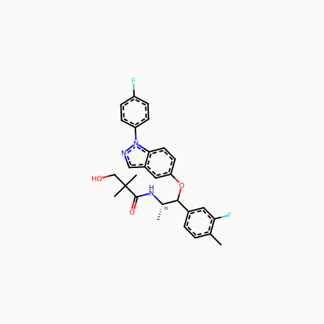 Cc1ccc(C(Oc2ccc3c(cnn3-c3ccc(F)cc3)c2)[C@H](C)NC(=O)C(C)(C)CO)cc1F